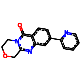 O=c1c2ccc(-c3ccccn3)cc2nc2n1CCOC2